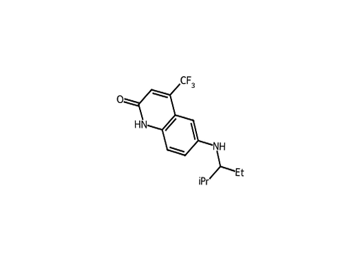 CCC(Nc1ccc2[nH]c(=O)cc(C(F)(F)F)c2c1)C(C)C